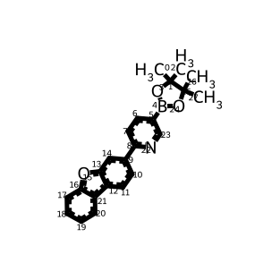 CC1(C)OB(c2ccc(-c3ccc4c(c3)oc3ccccc34)nc2)OC1(C)C